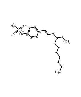 CCCCCCCN(CC)C/C=C/c1ccc(NS(C)(=O)=O)cc1